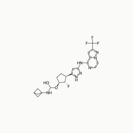 OC(NC12CC(C1)C2)O[C@H]1CC[C@@H](c2cc(Nc3nccn4nc(C(F)(F)F)cc34)n[nH]2)[C@@H]1F